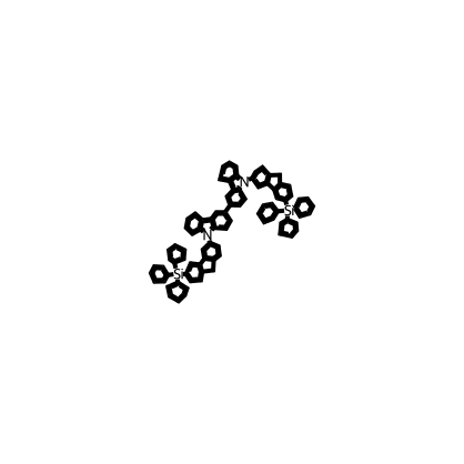 c1ccc([Si](c2ccccc2)(c2ccccc2)c2ccc3c(c2)-c2cc(-n4c5ccccc5c5cc(-c6ccc7c(c6)c6ccccc6n7-c6ccc7c(c6)-c6cc([Si](c8ccccc8)(c8ccccc8)c8ccccc8)ccc6C7)ccc54)ccc2C3)cc1